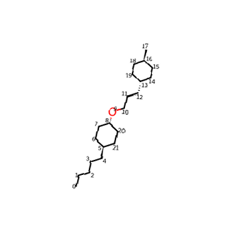 CCCCC[C@H]1CC[C@H](OCCC[C@H]2CC[C@H](C)CC2)CC1